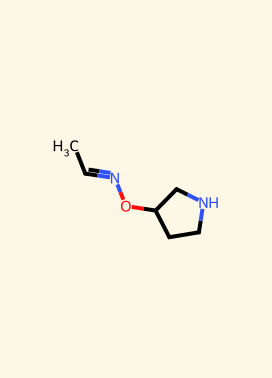 CC=NOC1CCNC1